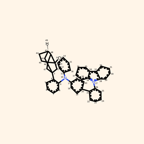 CC12CC3(c4ccccc4N(c4ccccc4)c4ccc(-c5ccccc5-n5c6ccccc6c6ccccc65)cc4)C[C@H]4CCC1(C3)C42